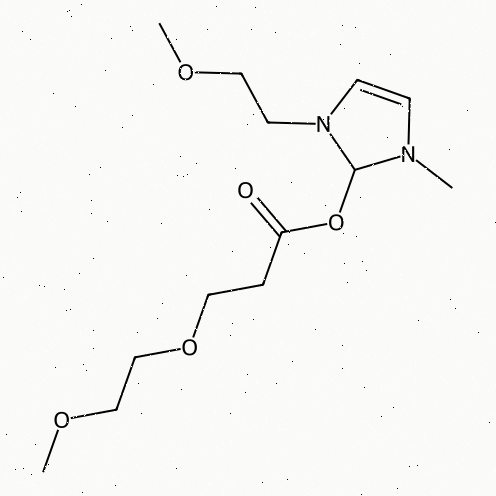 COCCOCCC(=O)OC1N(C)C=CN1CCOC